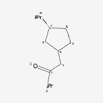 CC(C)C(=O)CC1CCC(C(C)C)C1